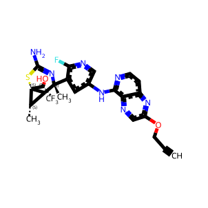 C#CCOc1cnc2c(Nc3cnc(F)c([C@@]4(C)N=C(N)S[C@]5([C@H](O)C(F)(F)F)C4[C@@H]5C)c3)nccc2n1